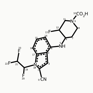 N#Cc1cc2c(NC3CCN(C(=O)O)CC3F)cccc2n1C(F)C(F)F